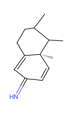 CC1CCC2=CC(=N)C=C[C@]2(C)C1C